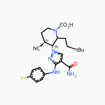 CC(C)(C)CCC1[C@H](n2cc(C(N)=O)c(Nc3ccc(F)cc3)n2)[C@@H](C#N)CCN1C(=O)O